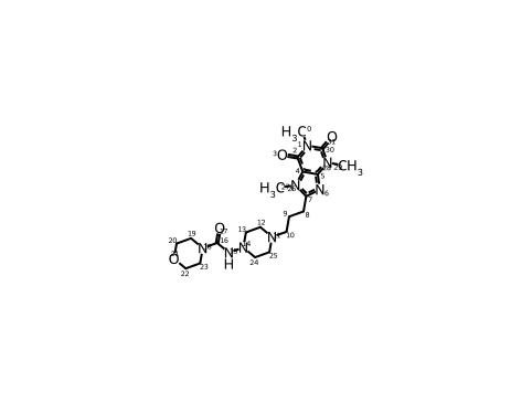 Cn1c(=O)c2c(nc(CCCN3CCN(NC(=O)N4CCOCC4)CC3)n2C)n(C)c1=O